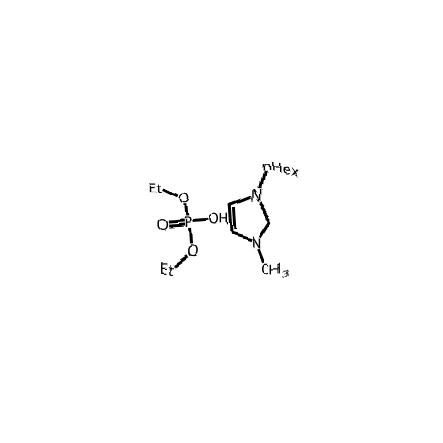 CCCCCCN1C=CN(C)C1.CCOP(=O)(O)OCC